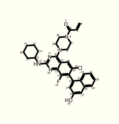 C=CC(=O)N1CCN(c2nc(NC3CCCCC3)nc3c(F)c(-c4cc(O)cc5ccccc45)c(Cl)cc23)CC1